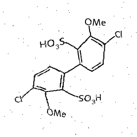 COc1c(Cl)ccc(-c2ccc(Cl)c(OC)c2S(=O)(=O)O)c1S(=O)(=O)O